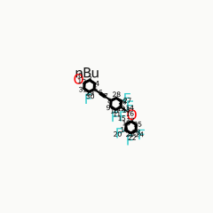 CCCCOc1ccc(C#Cc2cc(F)c(C(F)(F)Oc3cc(F)c(F)c(F)c3)c(F)c2)c(F)c1